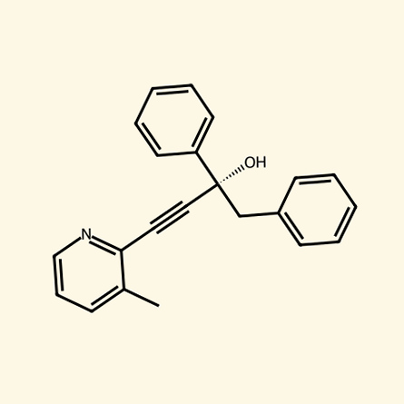 Cc1cccnc1C#C[C@](O)(Cc1ccccc1)c1ccccc1